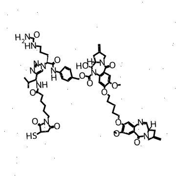 C=C1C[C@H]2C=Nc3cc(OCCCCCOc4cc5c(cc4OC)C(=O)N4CC(=C)C[C@H]4[C@H](O)N5C(=O)OCc4ccc(NC(=O)[C@H](CCCNC(N)=O)n5cc([C@@H](NC(=O)CCCCCN6C(=O)CC(S)C6=O)C(C)C)nn5)cc4)c(OC)cc3C(=O)N2C1